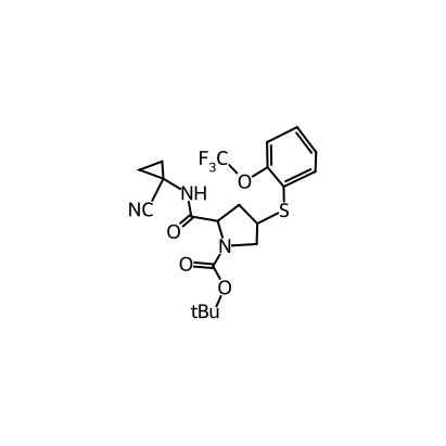 CC(C)(C)OC(=O)N1CC(Sc2ccccc2OC(F)(F)F)CC1C(=O)NC1(C#N)CC1